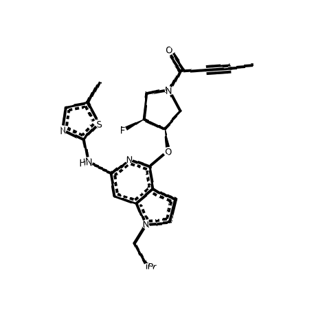 CC#CC(=O)N1C[C@H](F)[C@H](Oc2nc(Nc3ncc(C)s3)cc3c2ccn3CC(C)C)C1